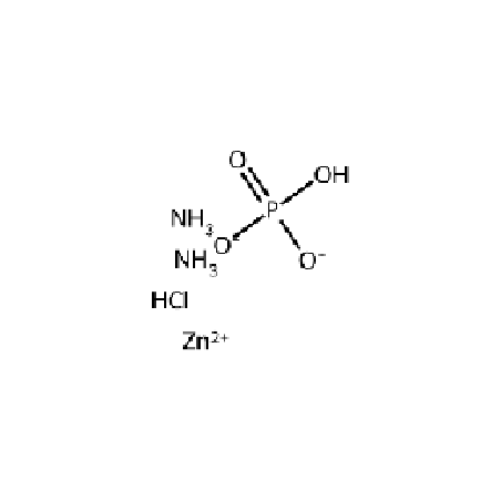 Cl.N.N.O=P([O-])([O-])O.[Zn+2]